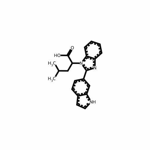 CC(C)CC(C(=O)O)n1c(-c2ccc3cc[nH]c3c2)nc2ccccc21